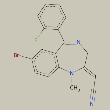 CN1C(=CC#N)CN=C(c2ccccc2F)c2cc(Br)ccc21